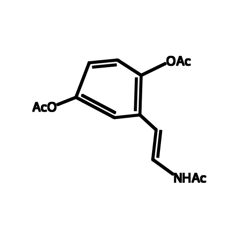 CC(=O)NC=Cc1cc(OC(C)=O)ccc1OC(C)=O